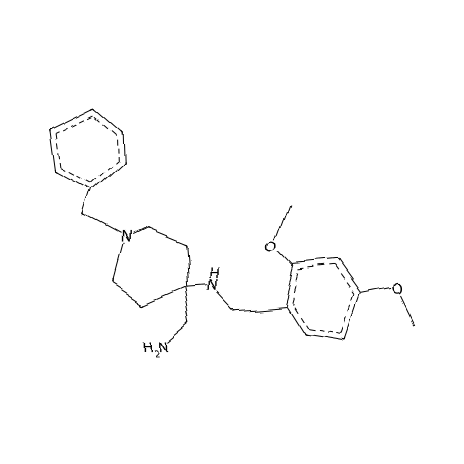 COc1ccc(CNC2(CN)CCN(Cc3ccccc3)CC2)c(OC)c1